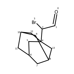 O=CC(Br)C12CC3CC(CC(C3)C1)C2